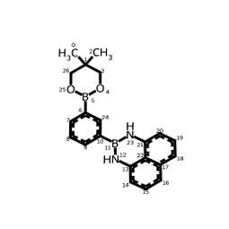 CC1(C)COB(c2cccc(B3Nc4cccc5cccc(c45)N3)c2)OC1